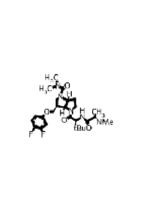 CN[C@@H](C)C(=O)N[C@H](C(=O)N1CC[C@@H]2[C@H]1[C@@H](COc1ccc(F)c(F)c1)CN2C(=O)N(C)C)C(C)(C)C